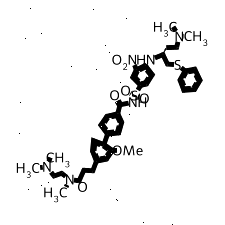 COc1cc(CCC(=O)N(C)CCN(C)C)ccc1-c1ccc(C(=O)NS(=O)(=O)c2ccc(N[C@H](CCN(C)C)CSc3ccccc3)c([N+](=O)[O-])c2)cc1